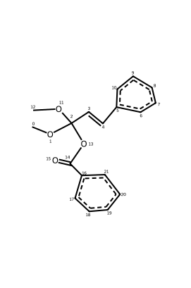 COC(C=Cc1ccccc1)(OC)OC(=O)c1ccccc1